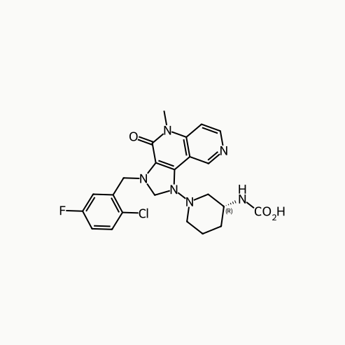 Cn1c(=O)c2c(c3cnccc31)N(N1CCC[C@@H](NC(=O)O)C1)CN2Cc1cc(F)ccc1Cl